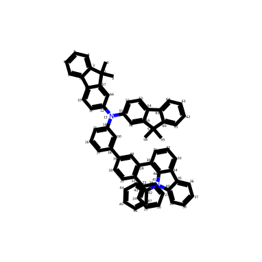 CC1(C)c2ccccc2-c2ccc(N(c3cccc(-c4ccc(-c5ccccc5)c(-c5cccc6c7ccccc7n(-c7ccccc7)c56)c4)c3)c3ccc4c(c3)C(C)(C)c3ccccc3-4)cc21